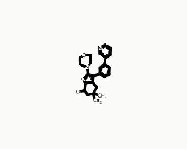 CC1(C)CC(=O)c2sc(N3CCOCC3)c(-c3cccc(-c4cccnc4)c3)c2C1